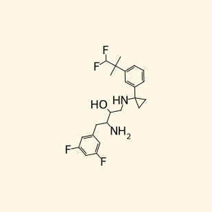 CC(C)(c1cccc(C2(NCC(O)C(N)Cc3cc(F)cc(F)c3)CC2)c1)C(F)F